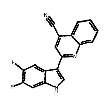 N#Cc1cc(-c2c[nH]c3cc(F)c(F)cc23)nc2ccccc12